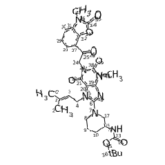 CC(C)=CCn1c(N2CCCC(NC(=O)OC(C)(C)C)C2)nc2c1c(=O)n(CC(=O)c1cccc3c1oc(=O)n3C)c(=O)n2C